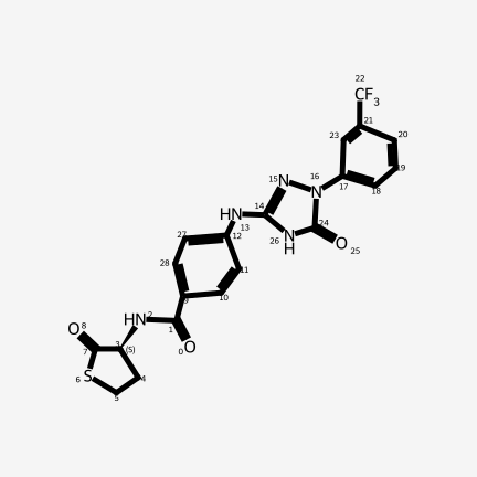 O=C(N[C@H]1CCSC1=O)c1ccc(Nc2nn(-c3cccc(C(F)(F)F)c3)c(=O)[nH]2)cc1